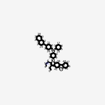 C=Cc1c(/C=C\C)n(-c2ccc(N(c3ccccc3)c3ccc(-c4ccc5ccccc5c4)cc3)cc2)c2cc3c(cc12)oc1ccccc13